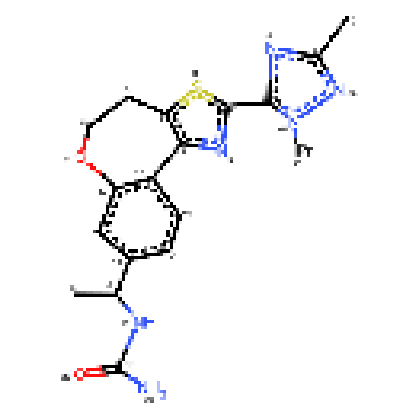 Cc1nc(-c2nc3c(s2)CCOc2cc(C(C)NC(N)=O)ccc2-3)n(C(C)C)n1